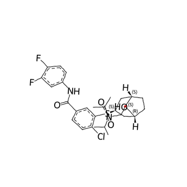 CC(C)N(C[C@@]1(O)[C@@H]2CC[C@H]1C[C@H](S(=O)(=O)c1cc(C(=O)Nc3ccc(F)c(F)c3)ccc1Cl)C2)C(C)C